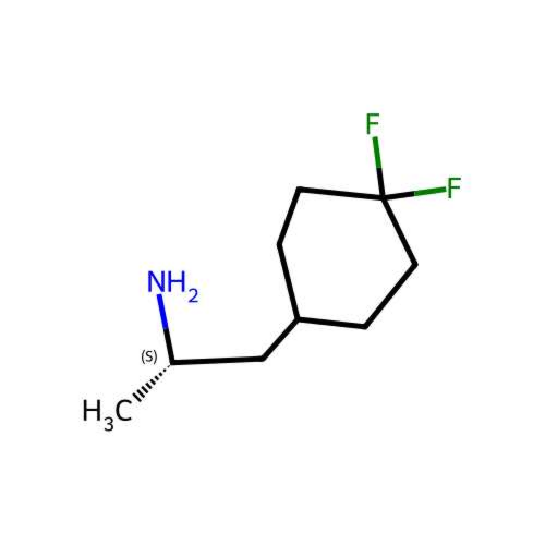 C[C@H](N)CC1CCC(F)(F)CC1